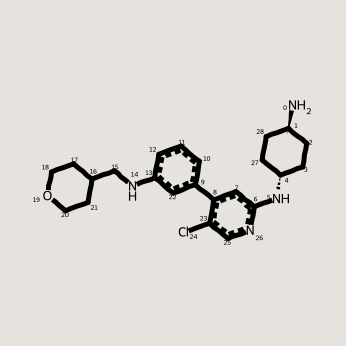 N[C@H]1CC[C@H](Nc2cc(-c3cccc(NCC4CCOCC4)c3)c(Cl)cn2)CC1